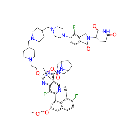 C#Cc1c(F)ccc2cc(OCOC)cc(-c3ncc4c(N5CC6CCC(C5)N6C(=O)OC(C)(C)C)nc(OCCN5CCC(CN6CCC(CN7CCN(c8ccc9c(c8F)CN(C8CCC(=O)NC8=O)C9=O)CC7)CC6)CC5)nc4c3F)c12